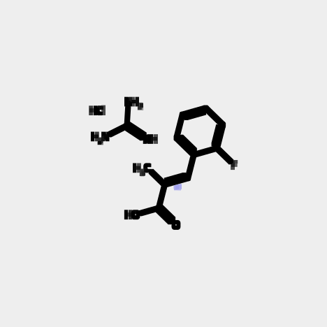 C/C(=C\c1ccccc1F)C(=O)O.Cl.N=C(N)N